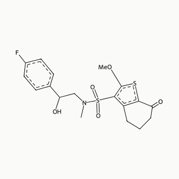 COc1sc2c(c1S(=O)(=O)N(C)CC(O)c1ccc(F)cc1)CCCC2=O